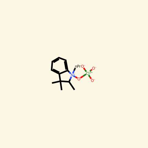 CCC[N+]1(O[Cl+3]([O-])([O-])[O-])c2ccccc2C(C)(C)C1C